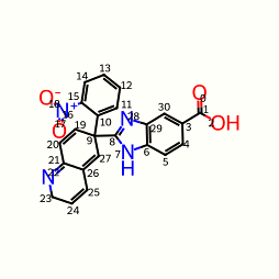 O=C(O)c1ccc2[nH]c(C3(c4ccccc4[N+](=O)[O-])C=CC4=NCC=CC4=C3)nc2c1